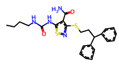 CCCCNC(=O)Nc1snc(SCCC(c2ccccc2)c2ccccc2)c1C(N)=O